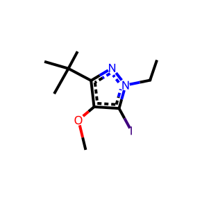 CCn1nc(C(C)(C)C)c(OC)c1I